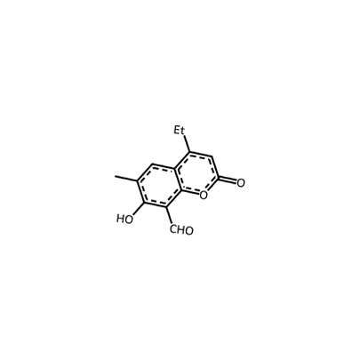 CCc1cc(=O)oc2c(C=O)c(O)c(C)cc12